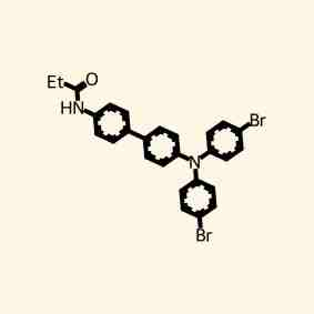 CCC(=O)Nc1ccc(-c2ccc(N(c3ccc(Br)cc3)c3ccc(Br)cc3)cc2)cc1